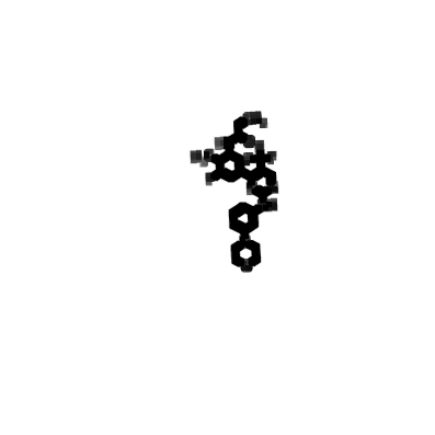 C=CC(=O)NC1C=C(c2nc(Nc3cccc(N4CCOCC4)c3)ncc2C(F)(F)F)C=C(F)C1C